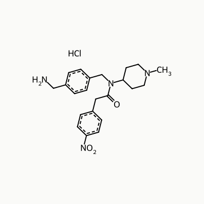 CN1CCC(N(Cc2ccc(CN)cc2)C(=O)Cc2ccc([N+](=O)[O-])cc2)CC1.Cl